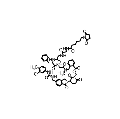 Cc1ccc(NC(=O)NCc2ccc3c(c2)CN(C2CCC(=O)N(COC(=O)c4ccccc4CN(C)C(=O)CNC(=O)[C@H](Cc4ccccc4)NC(=O)CNC(=O)CNC(=O)CCCCCN4C(=O)C=CC4=O)C2=O)C3=O)cc1Cl